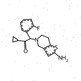 Nc1cc2c(s1)CCN(C(C(=O)C1CC1)c1ccccc1F)C2